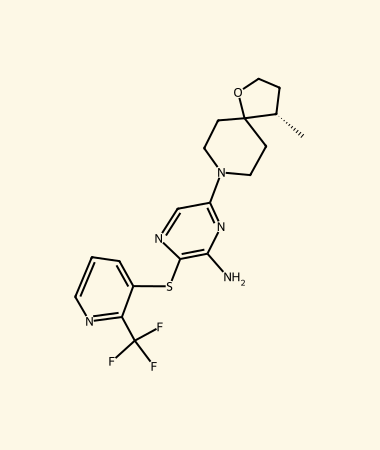 C[C@H]1CCOC12CCN(c1cnc(Sc3cccnc3C(F)(F)F)c(N)n1)CC2